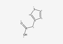 O=C(O)Cc1[c]csc1